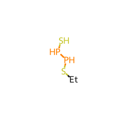 CCSPPS